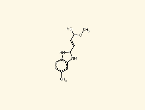 COC(O)/C=C/C1Nc2ccc(C)cc2N1